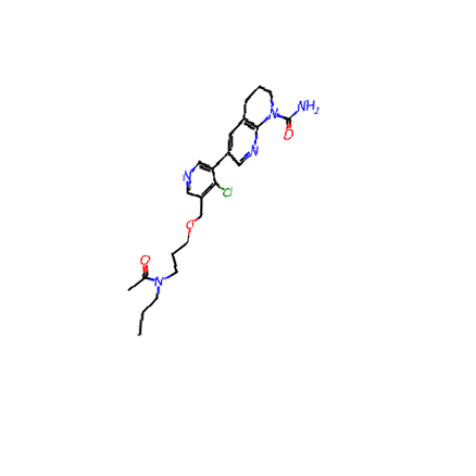 CCCN(CCCOCc1cncc(-c2cnc3c(c2)CCCN3C(N)=O)c1Cl)C(C)=O